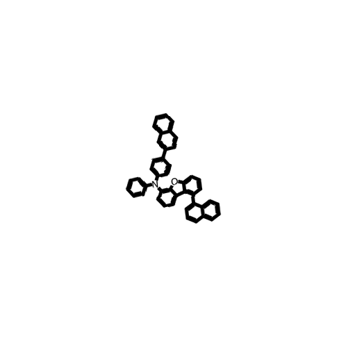 c1ccc(N(c2ccc(-c3ccc4ccccc4c3)cc2)c2cccc3c2oc2cccc(-c4cccc5ccccc45)c23)cc1